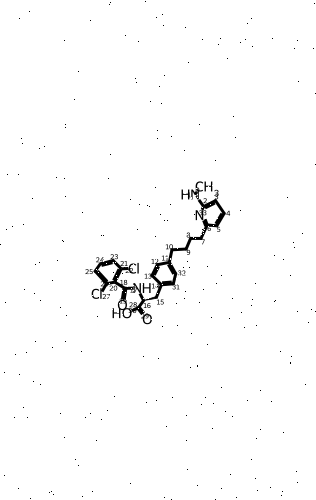 CNc1cccc(CCCCc2ccc(C[C@H](NC(=O)c3c(Cl)cccc3Cl)C(=O)O)cc2)n1